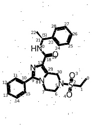 CCS(=O)(=O)N1CCn2c(-c3ccccc3)nc(C(=O)N[C@@H](C)c3ccccc3)c2C1